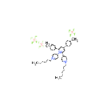 CCCCCC[n+]1ccc(-c2cc(-c3ccc(C)cc3)cc(-c3ccc(C)cc3)[n+]2-c2cc[n+](CCCCCC)cc2)cc1.F[B-](F)(F)F.F[B-](F)(F)F.F[B-](F)(F)F